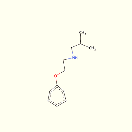 CC(C)CNCCOc1[c]cccc1